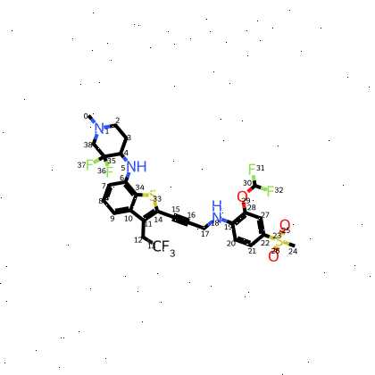 CN1CCC(Nc2cccc3c(CC(F)(F)F)c(C#CCNc4ccc(S(C)(=O)=O)cc4OC(F)F)sc23)C(F)(F)C1